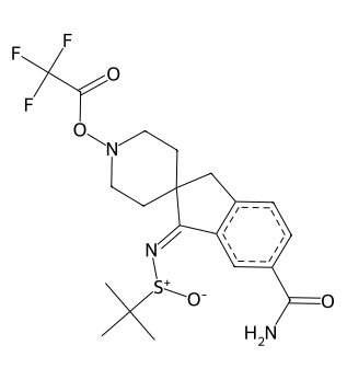 CC(C)(C)[S+]([O-])N=C1c2cc(C(N)=O)ccc2CC12CCN(OC(=O)C(F)(F)F)CC2